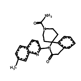 Cc1ccc2ccc(N3C(=O)Cc4ccccc4C34CCN(C(N)=O)CC4)nc2c1